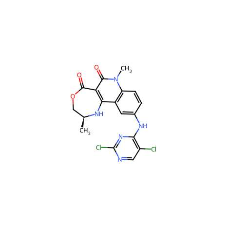 C[C@H]1COC(=O)c2c(c3cc(Nc4nc(Cl)ncc4Cl)ccc3n(C)c2=O)N1